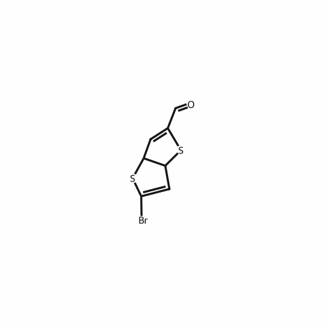 O=CC1=CC2SC(Br)=CC2S1